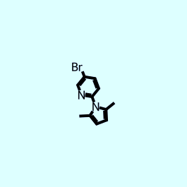 Cc1ccc(C)n1-c1ccc(Br)cn1